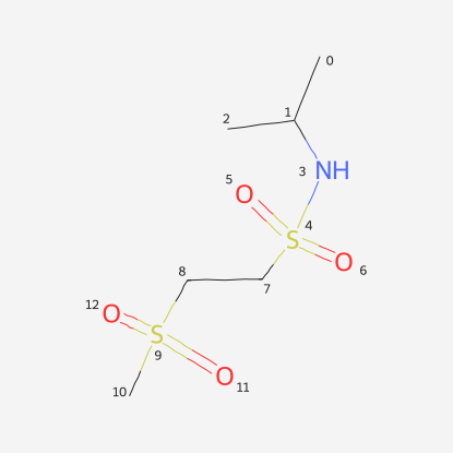 CC(C)NS(=O)(=O)CCS(C)(=O)=O